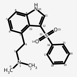 CN(C)CCc1cccc2[nH]cc(S(=O)(=O)c3ccccc3)c12